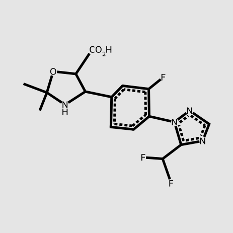 CC1(C)NC(c2ccc(-n3ncnc3C(F)F)c(F)c2)C(C(=O)O)O1